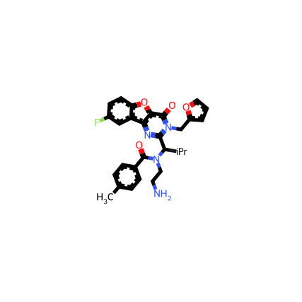 Cc1ccc(C(=O)N(CCN)C(c2nc3c(oc4ccc(F)cc43)c(=O)n2Cc2ccco2)C(C)C)cc1